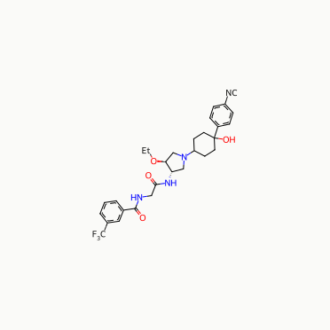 [C-]#[N+]c1ccc(C2(O)CCC(N3C[C@H](NC(=O)CNC(=O)c4cccc(C(F)(F)F)c4)[C@@H](OCC)C3)CC2)cc1